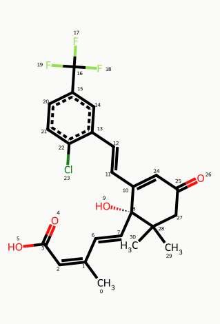 CC(=C/C(=O)O)/C=C/[C@@]1(O)C(/C=C/c2cc(C(F)(F)F)ccc2Cl)=CC(=O)CC1(C)C